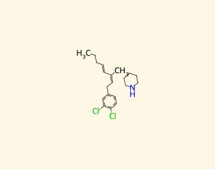 C1CCNCC1.CCCC=CC(C)=CCc1ccc(Cl)c(Cl)c1